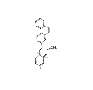 C=C/C=c1/cc(I)cc/c1=C/Cc1ccc2c(ccc3ccccc32)c1